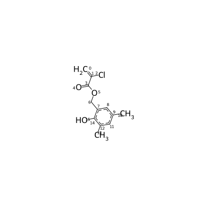 C=C(Cl)C(=O)OCc1cc(C)cc(C)c1O